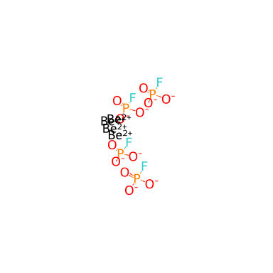 O=P([O-])([O-])F.O=P([O-])([O-])F.O=P([O-])([O-])F.O=P([O-])([O-])F.[Be+2].[Be+2].[Be+2].[Be+2]